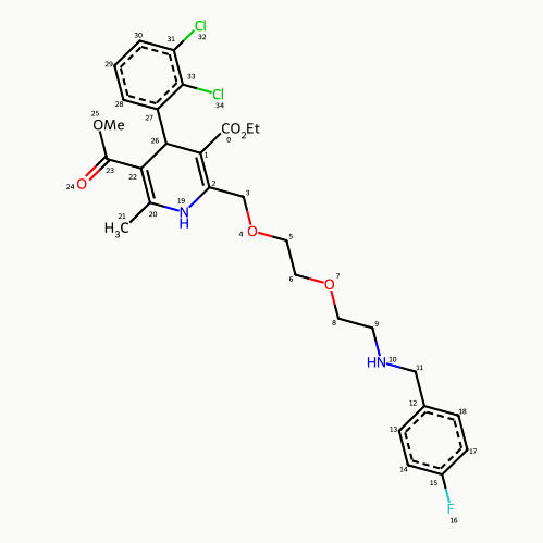 CCOC(=O)C1=C(COCCOCCNCc2ccc(F)cc2)NC(C)=C(C(=O)OC)C1c1cccc(Cl)c1Cl